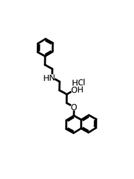 Cl.OC(CCNCCc1ccccc1)COc1cccc2ccccc12